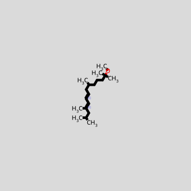 COC(C)(C)CCCC(C)C/C=C/C=C(\C)CC(C)C